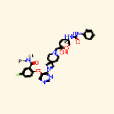 CCN(C(=O)c1cc(F)ccc1Oc1cncnc1N1CC2(CCN(C[C@@]3(O)CC[C@@H](NC(=O)Nc4ccccc4)CO3)CC2)C1)C(C)C